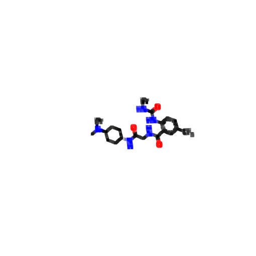 CC(C)NC(=O)Nc1ccc(C(F)(F)F)cc1C(=O)NCC(=O)N[C@H]1CC[C@H](N(C)C(C)C)CC1